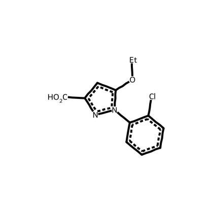 CCOc1cc(C(=O)O)nn1-c1ccccc1Cl